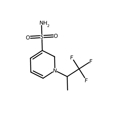 CC(N1C=CC=C(S(N)(=O)=O)C1)C(F)(F)F